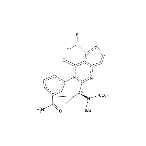 CC(C)(C)N(C(=O)O)[C@H](c1nc2cccc(C(F)F)c2c(=O)n1-c1cccc(C(N)=O)c1)C1CC1